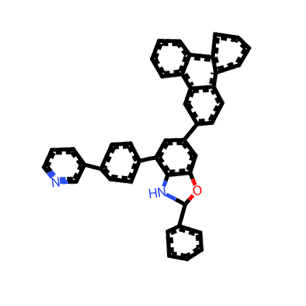 c1ccc(C2Nc3c(cc(-c4ccc5c6ccccc6c6ccccc6c5c4)cc3-c3ccc(-c4cccnc4)cc3)O2)cc1